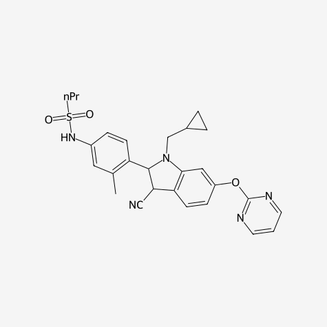 CCCS(=O)(=O)Nc1ccc(C2C(C#N)c3ccc(Oc4ncccn4)cc3N2CC2CC2)c(C)c1